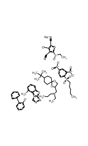 CCCCCS(=O)(=O)c1ccc([N+](=O)[O-])cc1[N+](=O)[O-].CCCN(CC)CC1COC2(CCC(C(C)(C)C)CC2)O1.CC[S+]([O-])c1sc(C#N)c(Cl)c1C#N.Cc1cccc2sc3nncn3c12.[Na+].[O-]c1ccccc1-c1ccccc1